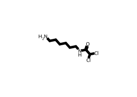 NCCCCCCNC(=O)C(Cl)Cl